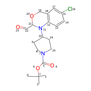 CC(C)(C)OC(=O)N1CCC(N2c3ccc(Cl)cc3COC2C=O)CC1